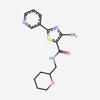 Cc1nc(-c2cccnc2)sc1C(=O)NCC1CCCCO1